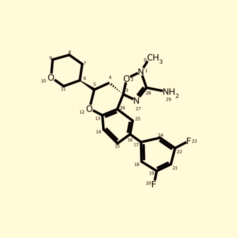 CN1O[C@@]2(CC([C@@H]3CCCOC3)Oc3ccc(-c4cc(F)cc(F)c4)cc32)N=C1N